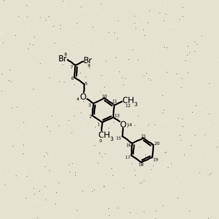 Cc1cc(OCC=C(Br)Br)cc(C)c1OCc1ccccc1